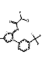 Cc1cn(-c2cccc(C(F)(F)F)c2)c(=NC(=O)C(F)Cl)s1